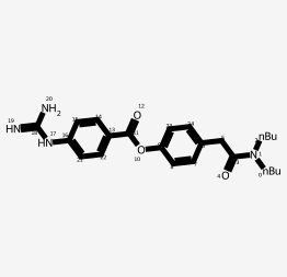 CCCCN(CCCC)C(=O)Cc1ccc(OC(=O)c2ccc(NC(=N)N)cc2)cc1